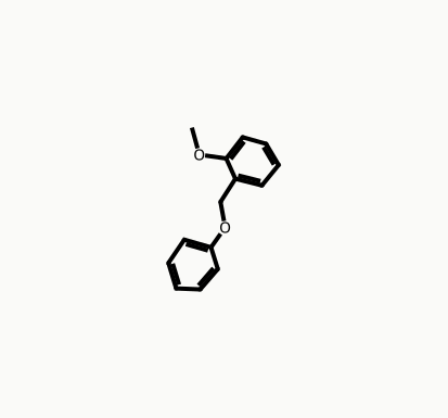 COc1ccccc1COc1ccccc1